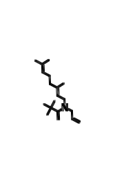 C=CCN(C/C=C(\C)CCC=C(C)C)C(=C)C(C)(C)C